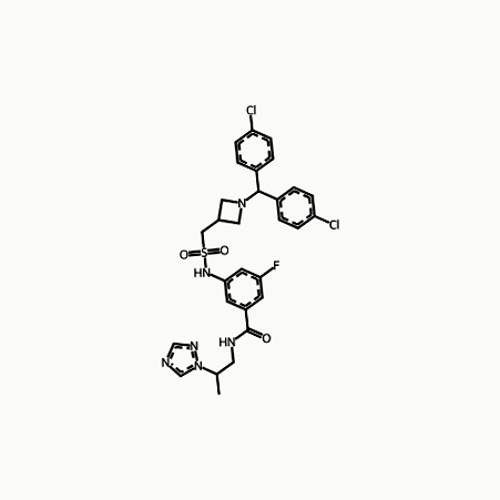 CC(CNC(=O)c1cc(F)cc(NS(=O)(=O)CC2CN(C(c3ccc(Cl)cc3)c3ccc(Cl)cc3)C2)c1)n1cncn1